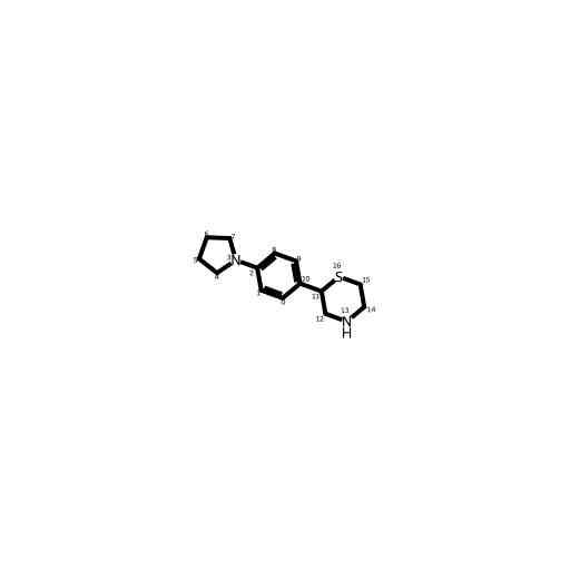 c1cc(N2CCCC2)ccc1C1CNCCS1